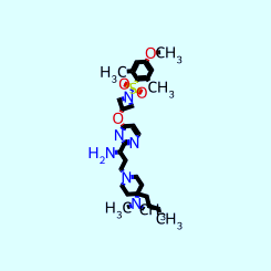 CCCCC1(N(C)C)CCN(CCC(N)c2nccc(OC3CN(S(=O)(=O)c4c(C)cc(OC)cc4C)C3)n2)CC1